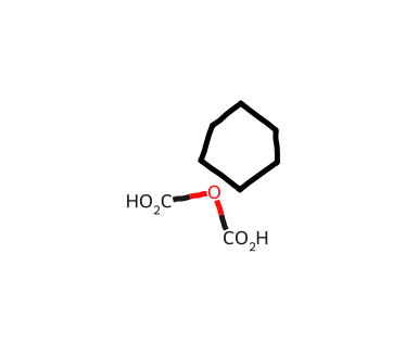 C1CCCCC1.O=C(O)OC(=O)O